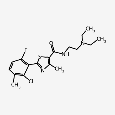 CCN(CC)CCNC(=O)c1sc(-c2c(F)ccc(C)c2Cl)nc1C